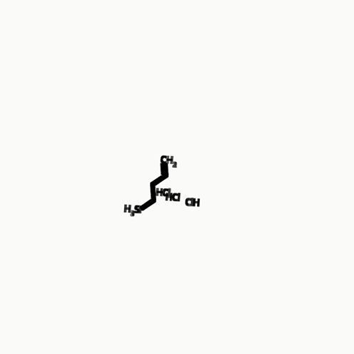 C=CCC[SiH3].Cl.Cl.Cl